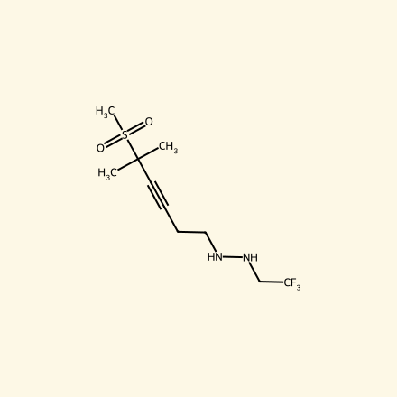 CC(C)(C#CCCNNCC(F)(F)F)S(C)(=O)=O